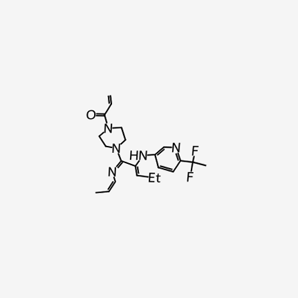 C=CC(=O)N1CCN(C(=N/C=C\C)/C(=C/CC)Nc2ccc(C(C)(F)F)nc2)CC1